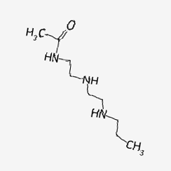 CCCNCCNCCNC(C)=O